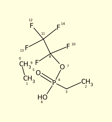 CC.CCP(=O)(O)OC(F)(F)C(F)(F)F